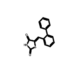 O=C1NC(=O)C(=Cc2ccccc2-c2ccccc2)S1